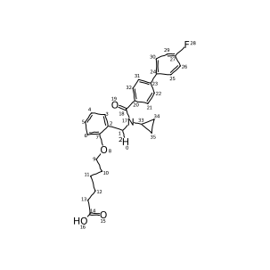 [2H]C(c1ccccc1OCCCCCC(=O)O)N(C(=O)c1ccc(-c2ccc(F)cc2)cc1)C1CC1